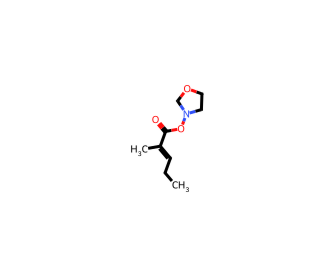 CCC=C(C)C(=O)ON1CCOC1